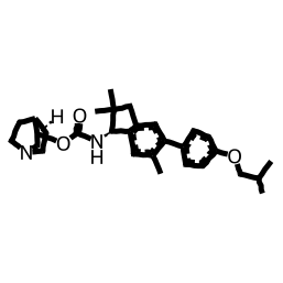 Cc1cc2c(cc1-c1ccc(OCC(C)C)cc1)CC(C)(C)[C@H]2NC(=O)O[C@H]1CN2CCC1CC2